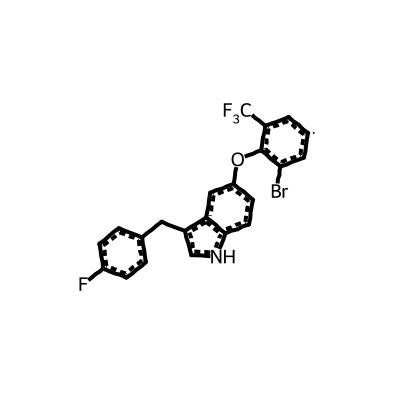 Fc1ccc(Cc2c[nH]c3ccc(Oc4c(Br)c[c]cc4C(F)(F)F)cc23)cc1